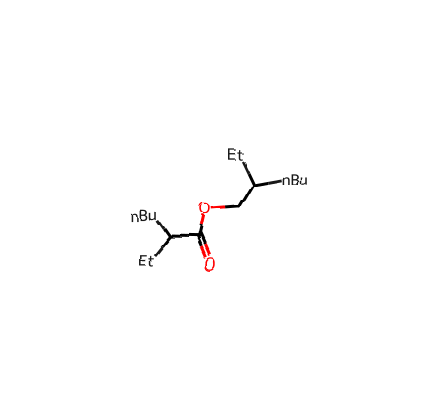 CCCCC(CC)COC(=O)C(CC)CCCC